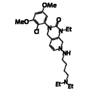 CCN(CC)CCCCNN1C=CC2=C(C1)N(CC)C(=O)N(c1cc(OC)cc(OC)c1Cl)C2